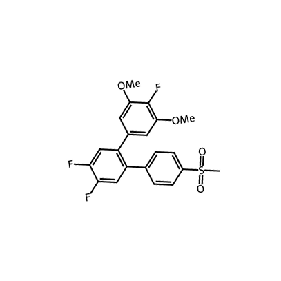 COc1cc(-c2cc(F)c(F)cc2-c2ccc(S(C)(=O)=O)cc2)cc(OC)c1F